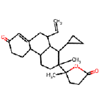 C=CC1CC2=CC(=O)CCC2C2CCC(C)(C3(C)CCC(=O)O3)C(C3CC3)C12